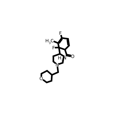 CC1=C(F)C=CC(C(N)=O)C1(F)C1CCN(CC2CCOCC2)CC1